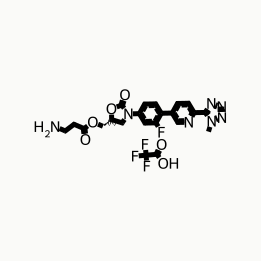 Cn1nnnc1-c1ccc(-c2ccc(N3C[C@H](COC(=O)CCN)OC3=O)cc2F)cn1.O=C(O)C(F)(F)F